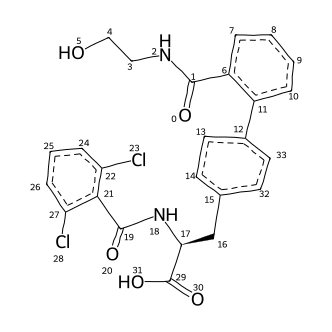 O=C(NCCO)c1ccccc1-c1ccc(C[C@H](NC(=O)c2c(Cl)cccc2Cl)C(=O)O)cc1